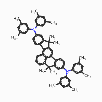 Cc1cc(C)cc(N(c2cc(C)cc(C)c2)c2ccc3c(c2)C(C)(C)c2cc4c5c(cccc5c2-3)C(C)(C)c2cc(N(c3cc(C)cc(C)c3)c3cc(C)cc(C)c3)ccc2-4)c1